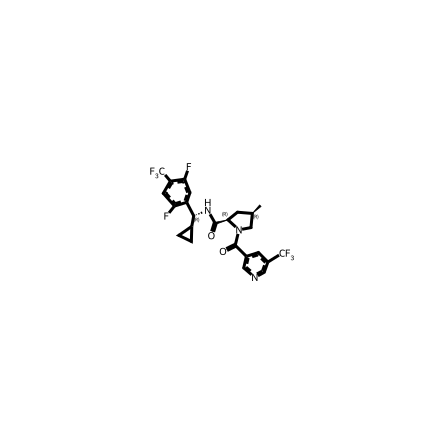 C[C@@H]1C[C@H](C(=O)N[C@@H](c2cc(F)c(C(F)(F)F)cc2F)C2CC2)N(C(=O)c2cncc(C(F)(F)F)c2)C1